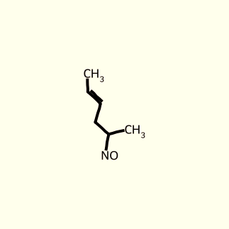 CC=CCC(C)N=O